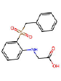 O=C(O)CNc1ccccc1S(=O)(=O)Cc1ccccc1